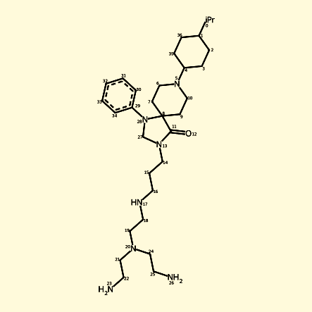 CC(C)C1CCC(N2CCC3(CC2)C(=O)N(CCCNCCN(CCN)CCN)CN3c2ccccc2)CC1